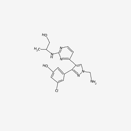 CC(CO)Nc1nccc(-c2cn(CN)nc2-c2cc(O)cc(Cl)c2)n1